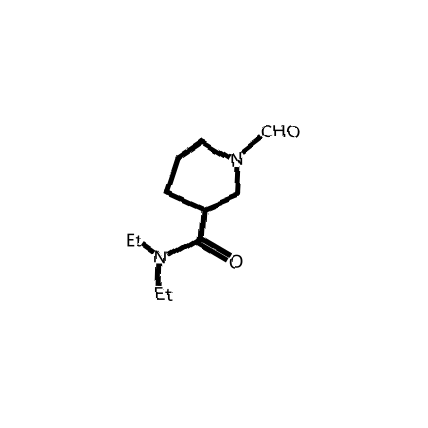 CCN(CC)C(=O)C1CCCN(C=O)C1